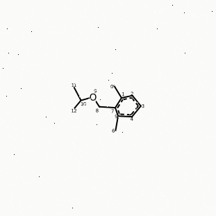 Cc1cccc(C)c1COC(C)C